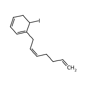 C=CCC/C=C\CC1=CC=CCC1I